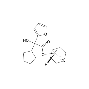 O=C(O[C@H]1CN2CCC1CC2)C(O)(c1ccco1)C1CCCC1